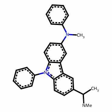 CNC(C)c1ccc2c(c1)c1cc(N(C)c3ccccc3)ccc1n2-c1ccccc1